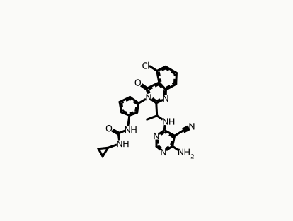 CC(Nc1ncnc(N)c1C#N)c1nc2cccc(Cl)c2c(=O)n1-c1cccc(NC(=O)NC2CC2)c1